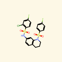 O=S(=O)(Nc1ccc2c(c1)N(S(=O)(=O)c1ccc(F)cc1)CCC2)c1ccc(F)cc1Cl